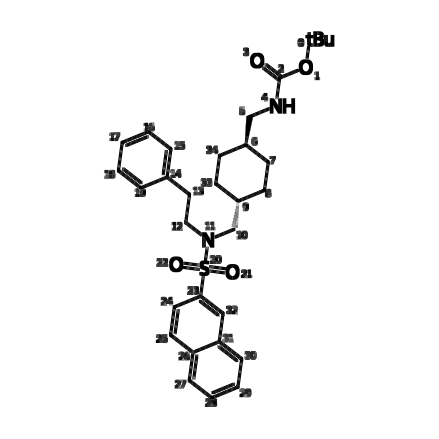 CC(C)(C)OC(=O)NC[C@H]1CC[C@H](CN(CCc2ccccc2)S(=O)(=O)c2ccc3ccccc3c2)CC1